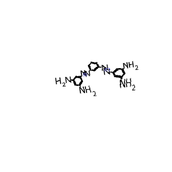 Nc1cc(N)cc(/N=N/c2cccc(/N=N/c3cc(N)cc(N)c3)c2)c1